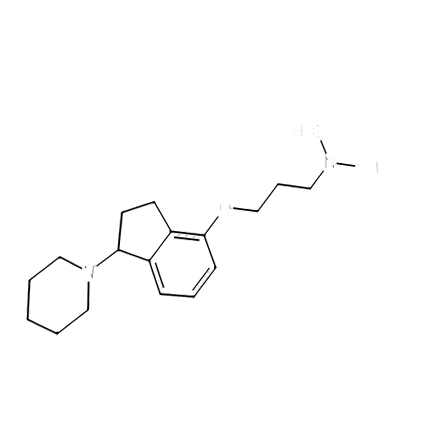 CN(C)CCCOc1cccc2c1CCC2N1CCCCC1